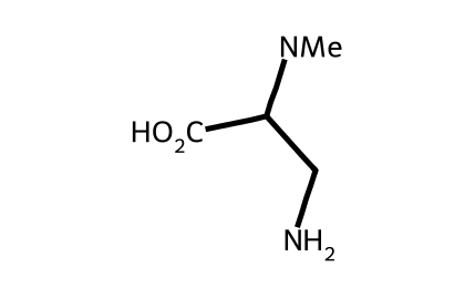 CNC(CN)C(=O)O